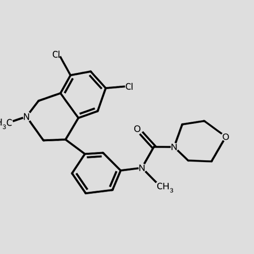 CN1Cc2c(Cl)cc(Cl)cc2C(c2cccc(N(C)C(=O)N3CCOCC3)c2)C1